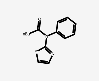 CCCCC(=O)N(c1ccccc1)c1nccs1